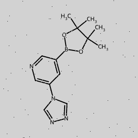 CC1(C)OB(c2cncc(-n3cnnc3)c2)OC1(C)C